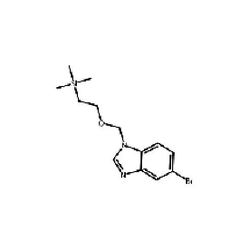 C[Si](C)(C)CCOCn1[c]nc2cc(Br)ccc21